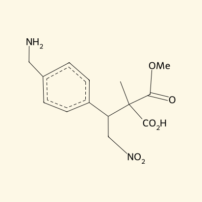 COC(=O)C(C)(C(=O)O)C(C[N+](=O)[O-])c1ccc(CN)cc1